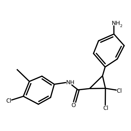 Cc1cc(NC(=O)C2C(c3ccc(N)cc3)C2(Cl)Cl)ccc1Cl